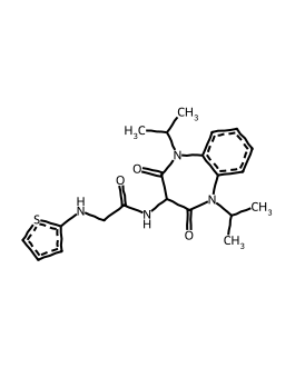 CC(C)N1C(=O)C(NC(=O)CNc2cccs2)C(=O)N(C(C)C)c2ccccc21